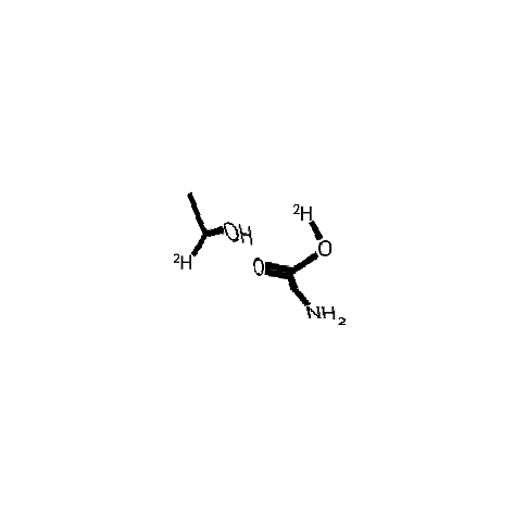 [2H]C(C)O.[2H]OC(N)=O